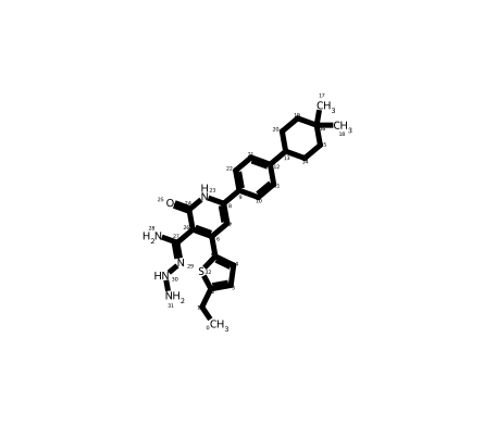 CCc1ccc(-c2cc(-c3ccc(C4CCC(C)(C)CC4)cc3)[nH]c(=O)c2/C(N)=N/NN)s1